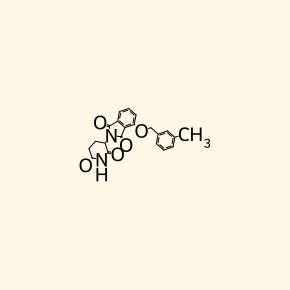 Cc1cccc(COc2cccc3c2C(=O)N(C2CCC(=O)NC2=O)C3=O)c1